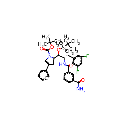 CC(C)(C)OC(=O)N1C=C(c2ccccc2)CC1[C@@H](O[Si](C)(C)C(C)(C)C)[C@H](Cc1cc(F)cc(F)c1)NC(=O)c1cccc(C(N)=O)c1